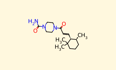 C[C@H]1CCCC(C)(C)[C@H]1C=CC(=O)N1CCN(C(N)=O)CC1